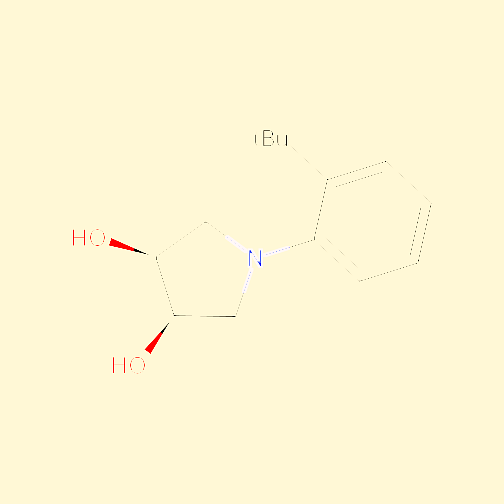 CC(C)(C)c1ccccc1N1C[C@@H](O)[C@@H](O)C1